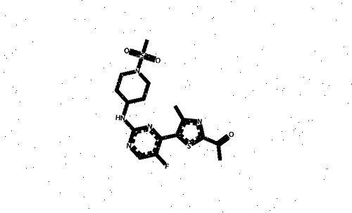 CC(=O)c1nc(C)c(-c2nc(NC3CCN(S(C)(=O)=O)CC3)ncc2F)s1